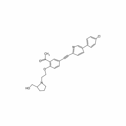 CC(=O)c1cc(C#Cc2ccc(-c3ccc(Cl)cc3)cn2)ccc1OCCN1CCCC1CO